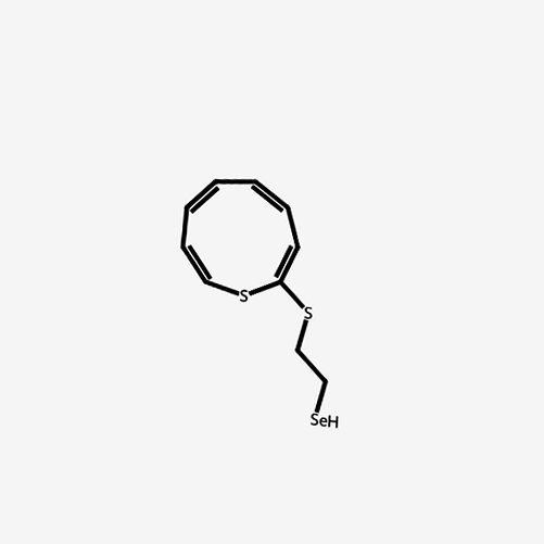 [SeH]CCSc1cccccccs1